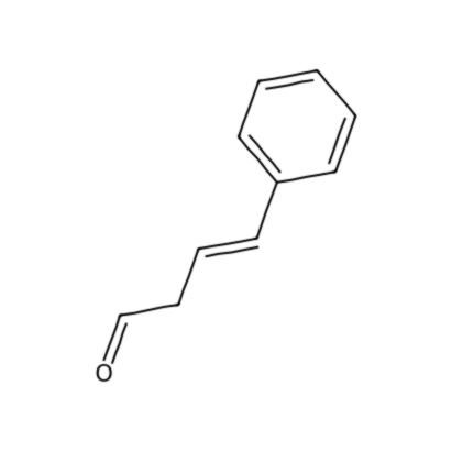 O=CCC=Cc1ccccc1